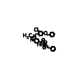 Cc1nc2ccc(C(=O)NS(=O)(=O)/C=C/c3ccccc3)cc2n1Cc1ccc(OCc2ccccc2)cc1Cl